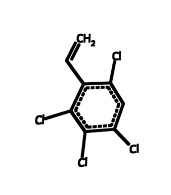 C=Cc1c(Cl)cc(Cl)c(Cl)c1Cl